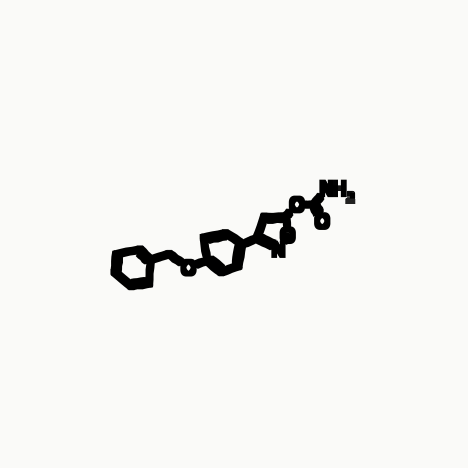 NC(=O)Oc1cc(-c2ccc(OCc3ccccc3)cc2)no1